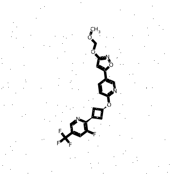 COCOc1cc(-c2ccc(O[C@H]3C[C@H](c4ncc(C(F)(F)F)cc4F)C3)nc2)on1